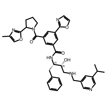 Cc1coc(C2CCCN2C(=O)c2cc(C(=O)N[C@@H](Cc3ccccc3)[C@H](O)CNCc3cncc(C(C)C)c3)cc(-c3ncco3)c2)n1